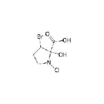 O=C(O)C1(O)C(Br)CCN1Cl